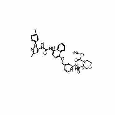 Cc1ccc(-n2nc(C)cc2NC(=O)Nc2ccc(OCc3ccnc(NC(=O)[C@@H]4COCCN4C(=O)OC(C)(C)C)c3)c3ccccc23)cc1